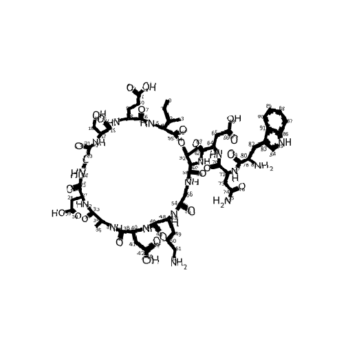 CCC(C)C1NC(=O)C(CCC(=O)O)NC(=O)C(CO)NC(=O)CNC(=O)C(CC(=O)O)NC(=O)C(C)NC(=O)C(CC(=O)O)NC(=O)C(CCCN)NC(=O)CNC(=O)C(NC(=O)C(CC(=O)O)NC(=O)C(CC(N)=O)NC(=O)C(N)Cc2c[nH]c3ccccc23)C(C)OC1=O